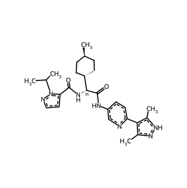 Cc1n[nH]c(C)c1-c1ccc(NC(=O)[C@H](NC(=O)c2ccnn2C(C)C)[C@H]2CC[C@H](C)CC2)cn1